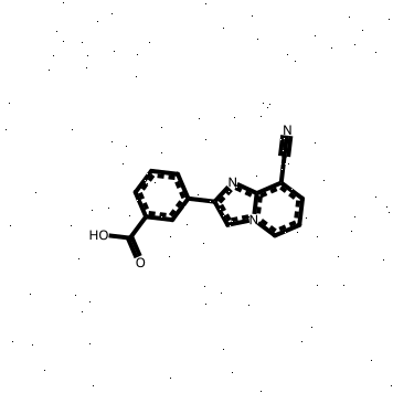 N#Cc1cccn2cc(-c3cccc(C(=O)O)c3)nc12